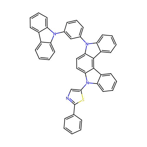 c1ccc(-c2ncc(-n3c4ccccc4c4c5c6ccccc6n(-c6cccc(-n7c8ccccc8c8ccccc87)c6)c5ccc43)s2)cc1